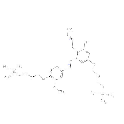 C/C=C/Cc1c(C)cc(OCOCC[Si](C)(C)C)cc1/C=C/c1ccc(OCOCC[Si](C)(C)C)c(OC)c1